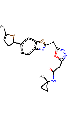 CC(=O)C1=CCC(c2ccc3nc(Cc4nnc(CC(=O)NC5(C#N)CC5)o4)sc3c2)S1